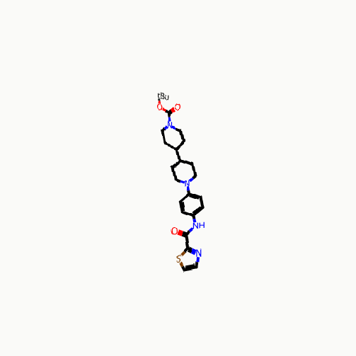 CC(C)(C)OC(=O)N1CCC(C2CCN(c3ccc(NC(=O)c4nccs4)cc3)CC2)CC1